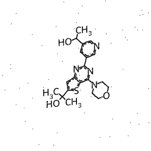 CC(O)c1cncc(-c2nc(N3CCOCC3)c3sc(C(C)(C)O)cc3n2)c1